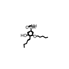 CCCC=Cc1c(O)cc(O)cc1OCCCCC.N=C=O